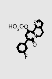 O=C(O)Oc1cc(-c2cccc(F)c2)c(=O)n2c1-c1sccc1CC2